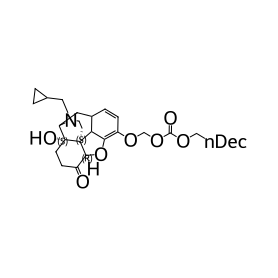 CCCCCCCCCCCOC(=O)OCOC1=C2O[C@H]3C(=O)CC[C@@]4(O)C5CC(C=C1)C2[C@@]34CCN5CC1CC1